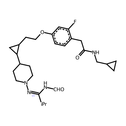 CC(C)/C(=N/N1CCC(C2CC2CCOc2ccc(CC(=O)NCC3CC3)c(F)c2)CC1)NC=O